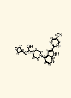 N#Cc1cnc(-c2cc3c(N4CCN(C(O)OC5COC5)CC4)ccnc3[nH]2)nc1